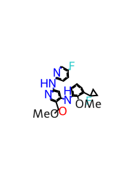 COC(=O)c1cnc(Nc2ccc(F)cn2)cc1Nc1cccc(C2(F)CC2)c1OC